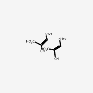 CCCCCCC=C(C#N)C(=O)O.CCCCCCCCC=C(C#N)C(=O)O